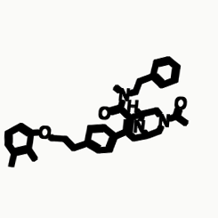 CC(=O)N1CC2CC(c3ccc(CCCOc4cccc(C)c4C)cc3)=C(C(=O)N(C)CCc3ccccc3)[C@@H](C1)N2